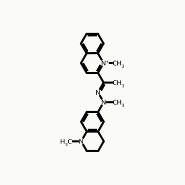 C/C(=N\N(C)c1ccc2c(c1)CCCN2C)c1ccc2ccccc2[n+]1C